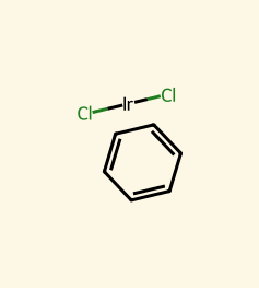 [Cl][Ir][Cl].c1ccccc1